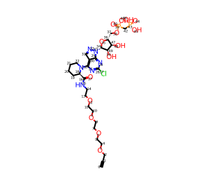 C#CCOCCOCCOCCOCCNC(=O)[C@H]1CCCCN1c1nc(Cl)nc2c1cnn2[C@@H]1O[C@H](COP(=O)(O)CP(=O)(O)O)[C@@H](O)[C@H]1O